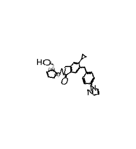 O=C1c2cc(Cc3ccc(-n4cccn4)cc3)c(C3CC3)cc2CN1[C@H]1CCC[C@@H]1CO